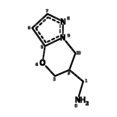 NCC1COc2ccnn2C1